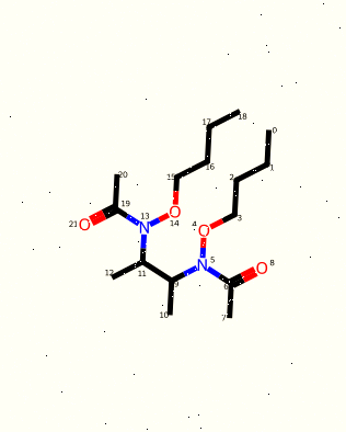 CCCCON(C(C)=O)C(C)C(C)N(OCCCC)C(C)=O